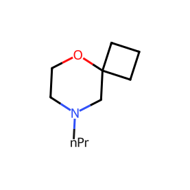 CCCN1CCOC2(CCC2)C1